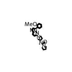 COc1ccccc1-c1cnc2ccc(N3CCC(N(C)C(=O)N4CCCC4)C3)nn12